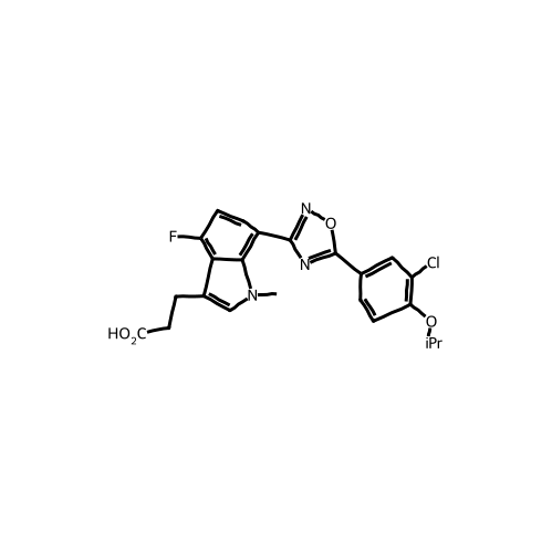 CC(C)Oc1ccc(-c2nc(-c3ccc(F)c4c(CCC(=O)O)cn(C)c34)no2)cc1Cl